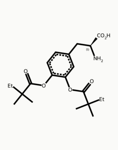 CCC(C)(C)C(=O)Oc1ccc(C[C@H](N)C(=O)O)cc1OC(=O)C(C)(C)CC